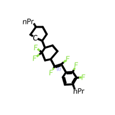 CCCc1ccc(/C(F)=C(\F)C2CCC(C3CCC(CCC)CC3)C(F)(F)C2)c(F)c1F